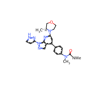 CNC(=O)N(C)c1ccc(-c2cc(N3CCOC[C@H]3C)nc3c2cnn3-c2cc[nH]n2)cc1